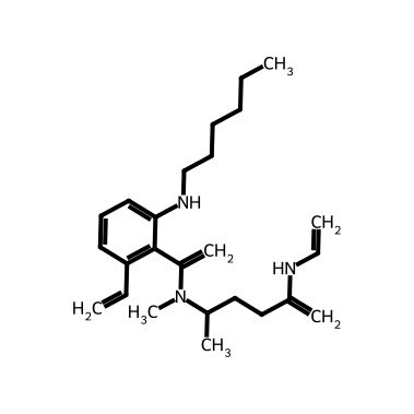 C=CNC(=C)CCC(C)N(C)C(=C)c1c(C=C)cccc1NCCCCCC